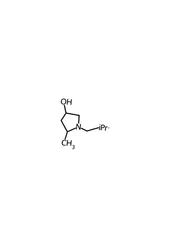 C[C](C)CN1CC(O)CC1C